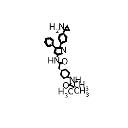 CC(C)(C)C(=O)N[C@H]1CC[C@H](CC(=O)Nc2cnc(-c3ccc(C4(N)CC4)cc3)c(-c3ccccc3)c2)CC1